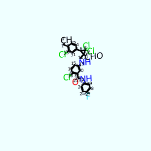 C=Cc1ccc(C2C(Cl)(Cl)C2(C=O)CNc2ccc(Cl)c(C(=O)Nc3ccc(F)cc3)c2)cc1Cl